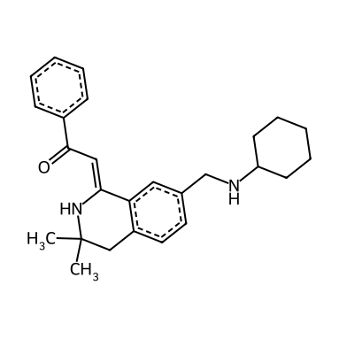 CC1(C)Cc2ccc(CNC3CCCCC3)cc2C(=CC(=O)c2ccccc2)N1